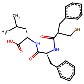 CC(C)C[C@H](NC(=O)[C@H](Cc1ccccc1)NC(=O)C(CS)Cc1ccccc1)C(=O)O